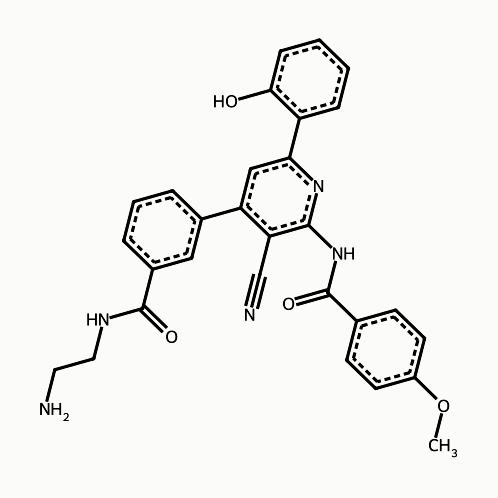 COc1ccc(C(=O)Nc2nc(-c3ccccc3O)cc(-c3cccc(C(=O)NCCN)c3)c2C#N)cc1